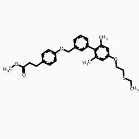 CCSCCOc1cc(C)c(-c2cccc(COc3ccc(CCC(=O)OC)cc3)c2)c(C)c1